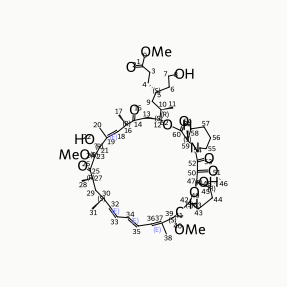 COC(=O)CC[C@H](CCO)C[C@@H](C)[C@@H]1CC(=O)[C@H](C)/C=C(\C)[C@@H](O)[C@@H](OC)C(=O)[C@H](C)C[C@H](C)/C=C/C=C/C=C(\C)[C@@H](OC)C[C@@H]2CC[C@@H](C)[C@@](O)(O2)C(=O)C(=O)N2CCCC[C@H]2C(=O)O1